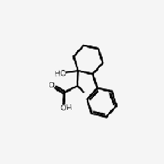 CC(C(=O)O)C1(O)CCCCC1c1ccccc1